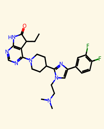 CCC1C(=O)Nc2ncnc(N3CCC(c4nc(-c5ccc(F)c(F)c5)cn4CCN(C)C)CC3)c21